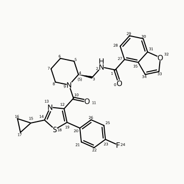 O=C(NC[C@@H]1CCCCN1C(=O)c1nc(C2CC2)sc1-c1ccc(F)cc1)c1cccc2occc12